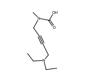 CCN(CC)CC#CCN(C)C(=O)O